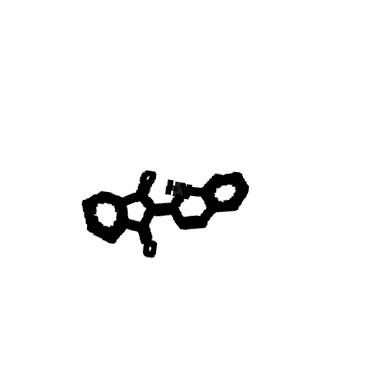 O=C1C(=C2C=Cc3ccccc3N2)C(=O)c2ccccc21